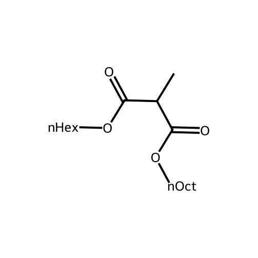 CCCCCCCCOC(=O)C(C)C(=O)OCCCCCC